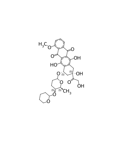 COc1cccc2c1C(=O)c1c(O)c3c(c(O)c1C2=O)C[C@@](O)(C(=O)CO)C[C@@H]3OC1CC[C@H](OC2CCCCO2)[C@H](C)O1